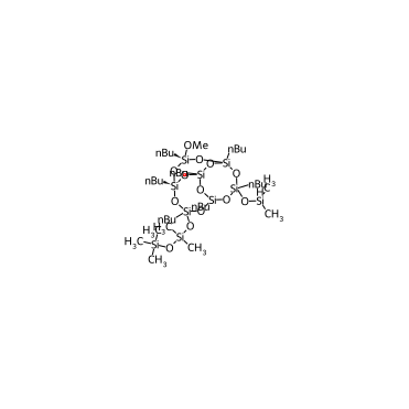 CCCC[Si]1(O[SiH](C)C)O[Si]2(CCCC)O[Si](CCCC)(O[Si](C)(C)O[Si](C)(C)C)O[Si@@]3(CCCC)O[Si](CCCC)(O2)O[Si](CCCC)(O1)O[Si@@](CCCC)(OC)O3